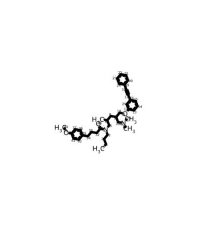 CCCCN(CC(C)CC(COc1cccc(C#Cc2ccccc2)c1)CN(C)C)C(=O)CCCc1ccc(OC)cc1